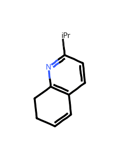 CC(C)c1ccc2c(n1)CCC=C2